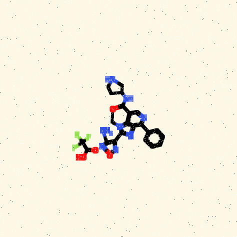 CCn1c(-c2nonc2N)nc2c(-c3ccccc3)ncc(C(=O)NC3CCNC3)c21.O=C(O)C(F)(F)F